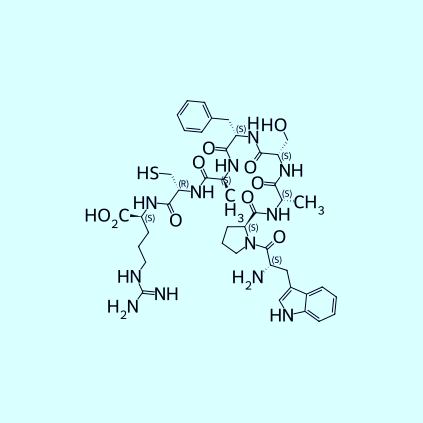 C[C@H](NC(=O)[C@H](Cc1ccccc1)NC(=O)[C@H](CO)NC(=O)[C@H](C)NC(=O)[C@@H]1CCCN1C(=O)[C@@H](N)Cc1c[nH]c2ccccc12)C(=O)N[C@@H](CS)C(=O)N[C@@H](CCCNC(=N)N)C(=O)O